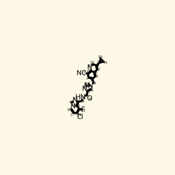 N#Cc1cc(Cn2cc(C(=O)NCc3ncn4ccc(Cl)c(F)c34)nn2)cc2cc(C3CC3)cnc12